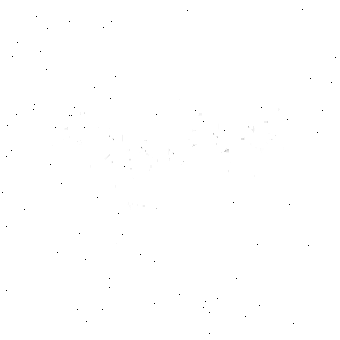 CCOC(=O)Oc1sc(N2CC[C@@H](NC(=O)c3[nH]c(C)c(Cl)c3Cl)[C@@H](OC)C2)nc1C(=O)N[C@@H](C)COC